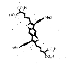 CCCCCCC#Cc1c(CCCC(C(=O)O)C(=O)O)sc2cc3c(C#CCCCCCC)c(CCCC(C(=O)O)C(=O)O)sc3cc12